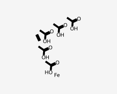 C=C.CC(=O)O.CC(=O)O.CC(=O)O.CC(=O)O.CC(=O)O.[Fe]